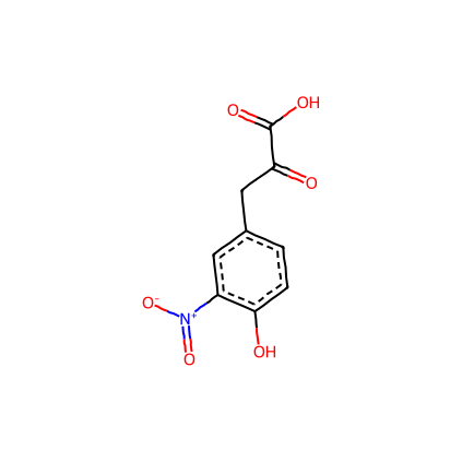 O=C(O)C(=O)Cc1ccc(O)c([N+](=O)[O-])c1